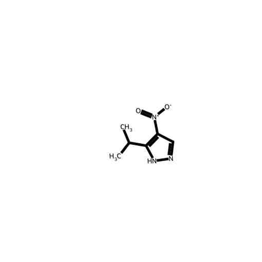 CC(C)c1[nH]ncc1[N+](=O)[O-]